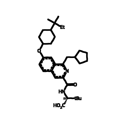 CCC(C)(C)C1CCC(Oc2ccc3cc(C(=O)N[C@@H](C(=O)O)C(C)(C)C)nc(CC4CCCC4)c3c2)CC1